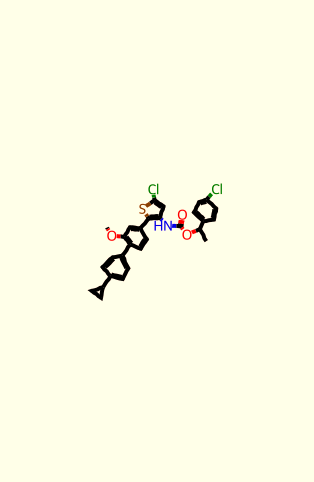 COc1cc(-c2sc(Cl)cc2NC(=O)OC(C)c2ccc(Cl)cc2)ccc1-c1ccc(C2CC2)cc1